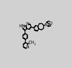 Cc1ncccc1-c1ccc(-c2c[nH]c3ncc(-c4ccc5c(c4)CC[C@@H](N4C6COCC4C6)CC5)cc23)cc1